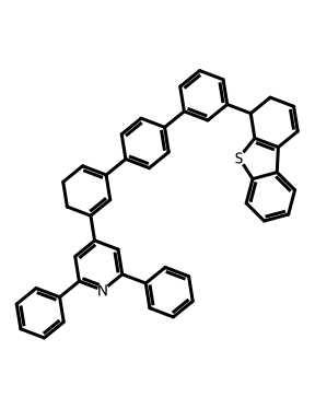 C1=Cc2c(sc3ccccc23)C(c2cccc(-c3ccc(C4=CCCC(c5cc(-c6ccccc6)nc(-c6ccccc6)c5)=C4)cc3)c2)C1